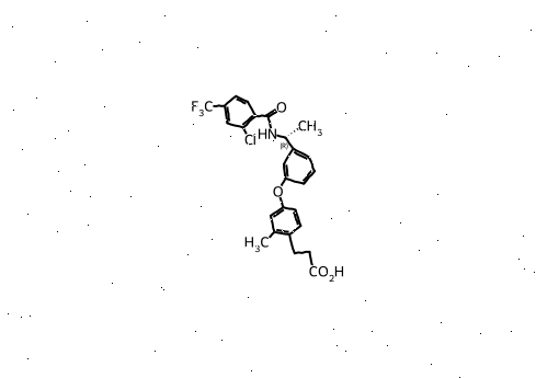 Cc1cc(Oc2cccc([C@@H](C)NC(=O)c3ccc(C(F)(F)F)cc3Cl)c2)ccc1CCC(=O)O